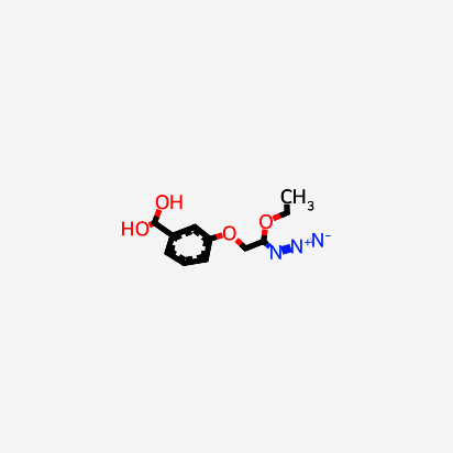 CCOC(COc1cccc(C(O)O)c1)N=[N+]=[N-]